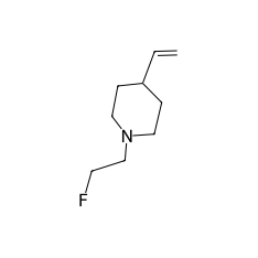 C=CC1CCN(CCF)CC1